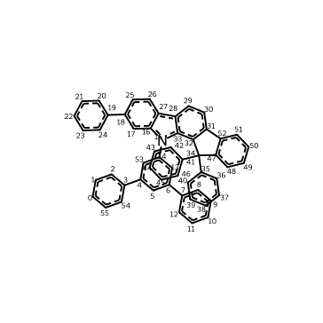 c1ccc(-c2cc(-c3ccccc3)cc(-n3c4cc(-c5ccccc5)ccc4c4ccc5c(c43)C(c3ccccc3)(c3ccccc3)c3ccccc3-5)c2)cc1